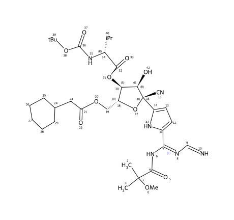 COC(C)(C)C(=O)N/C(=N/C=N)c1ccc([C@]2(C#N)O[C@H](COC(=O)CC3CCCCC3)[C@@H](OC(=O)[C@H](NC(=O)OC(C)(C)C)C(C)C)[C@H]2O)[nH]1